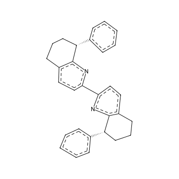 c1ccc([C@H]2CCCc3ccc(-c4ccc5c(n4)[C@@H](c4ccccc4)CCC5)nc32)cc1